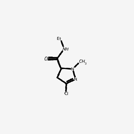 CCNC(=O)C1CC(Cl)=NN1C